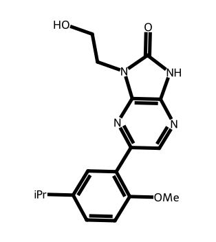 COc1ccc(C(C)C)cc1-c1cnc2[nH]c(=O)n(CCO)c2n1